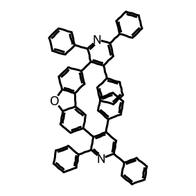 c1ccc(-c2cc(-c3ccccc3)c(-c3ccc4oc5ccc(-c6c(-c7ccccc7)cc(-c7ccccc7)nc6-c6ccccc6)cc5c4c3)c(-c3ccccc3)n2)cc1